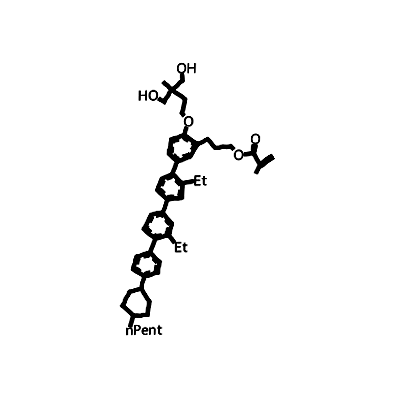 C=C(C)C(=O)OCCCc1cc(-c2ccc(-c3ccc(-c4ccc(C5CCC(CCCCC)CC5)cc4)c(CC)c3)cc2CC)ccc1OCCC(C)(CO)CO